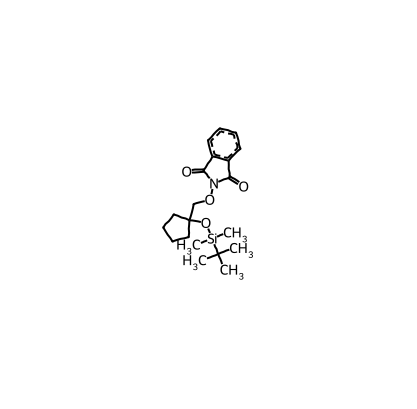 CC(C)(C)[Si](C)(C)OC1(CON2C(=O)c3ccccc3C2=O)CCCC1